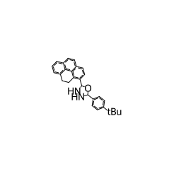 CC(C)(C)c1ccc(C2NNC(c3ccc4ccc5cccc6c5c4c3CC6)O2)cc1